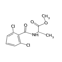 COC(=O)C(C)NC(=O)c1c(Cl)cccc1Cl